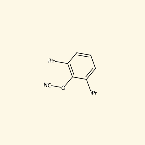 CC(C)c1cccc(C(C)C)c1OC#N